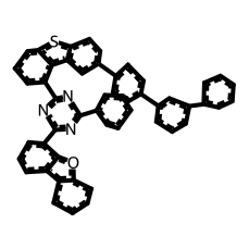 c1ccc(-c2cccc(-c3ccc(-c4ccc5sc6cccc(-c7nc(-c8ccccc8)nc(-c8cccc9c8oc8ccccc89)n7)c6c5c4)cc3)c2)cc1